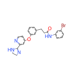 O=C(CCc1cccc(Oc2ccnc(C3=NCCN3)c2)c1)Nc1cccc(Br)c1